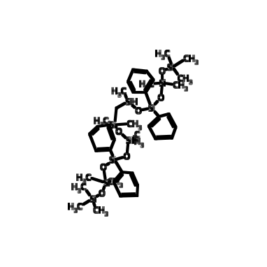 C[SiH](C[Si](C)(C)O[SiH](C)O[Si](O[Si](C)(C)O[Si](C)(C)C)(c1ccccc1)c1ccccc1)O[Si](O[Si](C)(C)O[Si](C)(C)C)(c1ccccc1)c1ccccc1